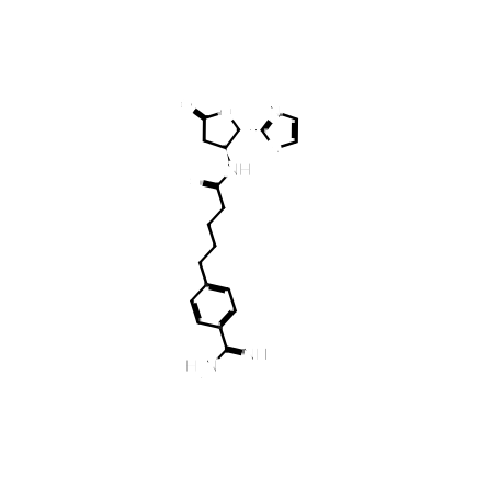 N=C(N)c1ccc(CCCCC(=O)N[C@H]2CC(=O)O[C@@H]2c2nccs2)cc1